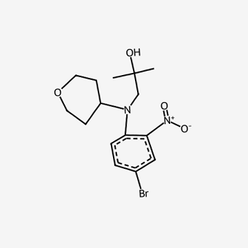 CC(C)(O)CN(c1ccc(Br)cc1[N+](=O)[O-])C1CCOCC1